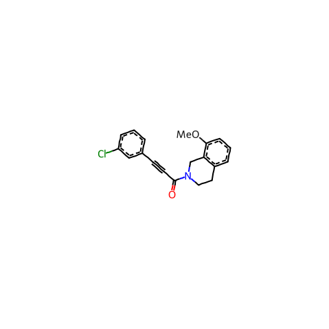 COc1cccc2c1CN(C(=O)C#Cc1cccc(Cl)c1)CC2